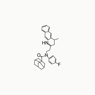 CC(CC(=N)CCN(C(=O)C12CC3CC(CC(C3)C1)C2)c1ccc(F)cc1)c1ccc2ccccc2c1